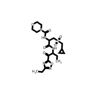 CCc1noc(C(=O)C(CC)NC(=O)C(CS(=O)(=O)CC2CC2)NC(=O)N2CCOCC2)n1